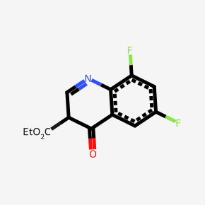 CCOC(=O)C1C=Nc2c(F)cc(F)cc2C1=O